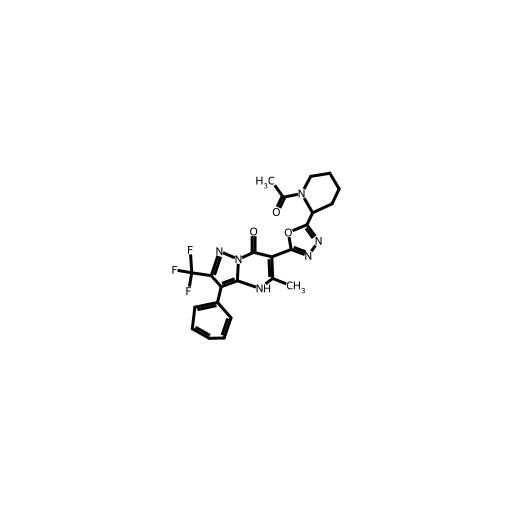 CC(=O)N1CCCCC1c1nnc(-c2c(C)[nH]c3c(-c4ccccc4)c(C(F)(F)F)nn3c2=O)o1